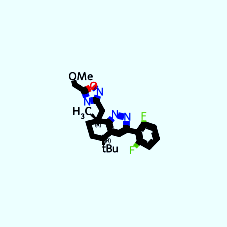 COCc1nc(C[C@@]2(C)CC[C@H](C(C)(C)C)c3cc(-c4c(F)cccc4F)nnc32)no1